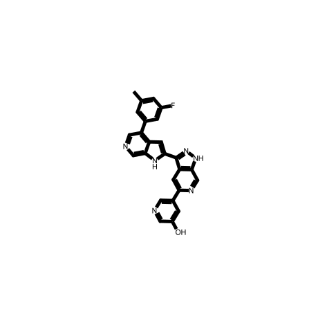 Cc1cc(F)cc(-c2cncc3[nH]c(-c4n[nH]c5cnc(-c6cncc(O)c6)cc45)cc23)c1